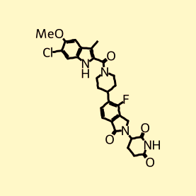 COc1cc2c(C)c(C(=O)N3CCC(c4ccc5c(c4F)CN(C4CCC(=O)NC4=O)C5=O)CC3)[nH]c2cc1Cl